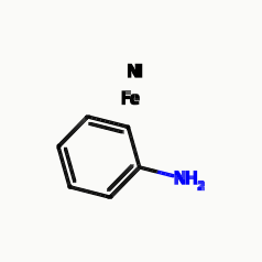 Nc1ccccc1.[Fe].[Ni]